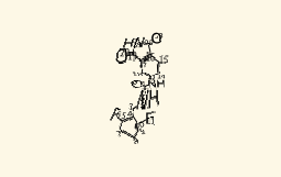 O=C(NCc1c(F)cccc1F)Nc1ccc2c(c1)C(=O)NC2=O